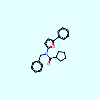 O=C(C1CCCC1)N(Cc1ccccc1)c1ccc(-c2ccccc2)o1